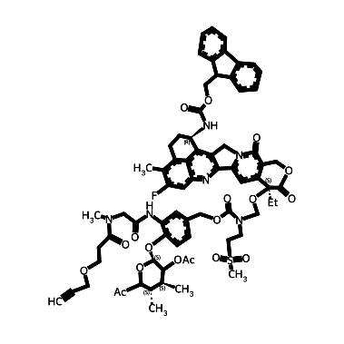 C#CCOCCC(=O)N(C)CC(=O)Nc1cc(COC(=O)N(CCS(C)(=O)=O)CO[C@]2(CC)C(=O)OCc3c2cc2n(c3=O)Cc3c-2nc2cc(F)c(C)c4c2c3[C@H](NC(=O)OCC2c3ccccc3-c3ccccc32)CC4)ccc1O[C@@H]1OC(C(C)=O)[C@@H](C)[C@H](C)C1OC(C)=O